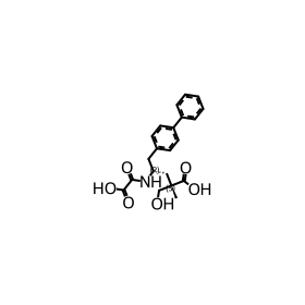 C[C@@](CO)(C[C@@H](Cc1ccc(-c2ccccc2)cc1)NC(=O)C(=O)O)C(=O)O